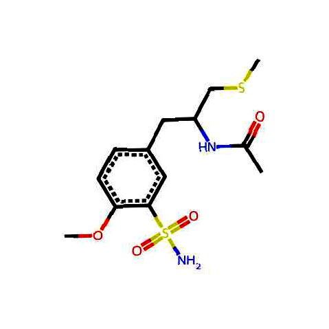 COc1ccc(CC(CSC)NC(C)=O)cc1S(N)(=O)=O